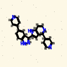 c1cc(-c2ccc3[nH]nc(-c4cc5c(-c6ccncc6)nccc5[nH]4)c3c2)ccn1